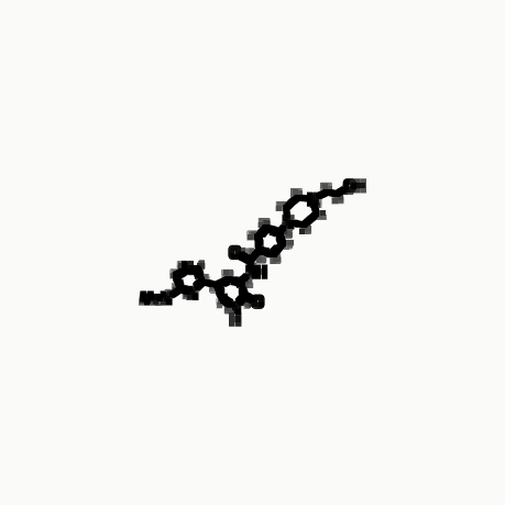 CNc1cncc(-c2c[nH]c(=O)c(NC(=O)c3ccc(N4CCN(CCO)CC4)cc3)c2)n1